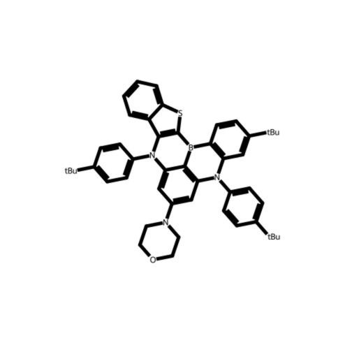 CC(C)(C)c1ccc(N2c3cc(C(C)(C)C)ccc3B3c4sc5ccccc5c4N(c4ccc(C(C)(C)C)cc4)c4cc(N5CCOCC5)cc2c43)cc1